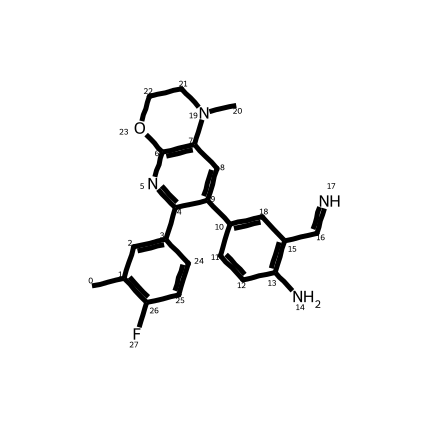 Cc1cc(-c2nc3c(cc2-c2ccc(N)c(C=N)c2)N(C)CCO3)ccc1F